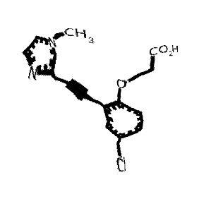 Cn1ccnc1C#Cc1cc(Cl)ccc1OCC(=O)O